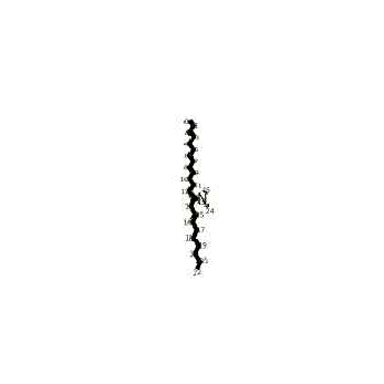 CCC=CCCCCCCCCCC(CCCCCCCCC)N(C)C